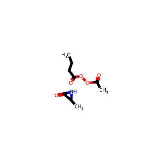 CC1NC1=O.CCCC(=O)OOC(C)=O